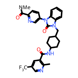 CNC(=O)c1ccc(-n2c(=O)n(CC3CCC(NC(=O)c4cc(C(F)(F)F)cnc4C)CC3)c3ccccc32)cn1